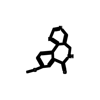 COc1ccc2c(c1)C(=O)NCc1cncnc1-2